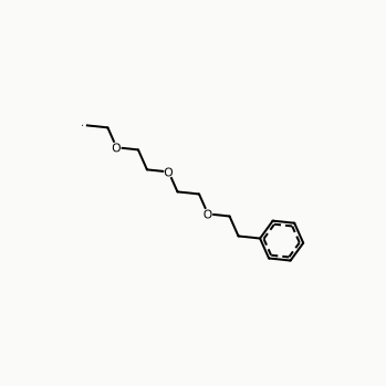 [CH2]COCCOCCOCCc1ccccc1